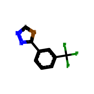 FC(F)(F)c1cccc(-c2nn[c]s2)c1